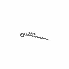 CCCCCCCCCCCCC(N)CC(N)COc1ccccc1